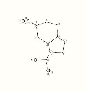 O=C(O)N1CCC2CCN(C(=O)C(F)(F)F)C2C1